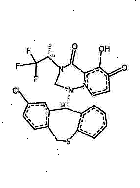 C[C@H](N1CN([C@H]2c3cc(Cl)ccc3CSc3ccccc32)n2ccc(=O)c(O)c2C1=O)C(F)(F)F